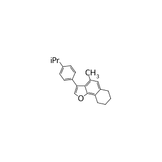 Cc1cc2c(c3occ(-c4ccc(C(C)C)cc4)c13)CCCC2